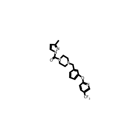 Cc1ccn(C(=O)N2CCN(Cc3cccc(Oc4ccc(C(F)(F)F)cn4)c3)CC2)n1